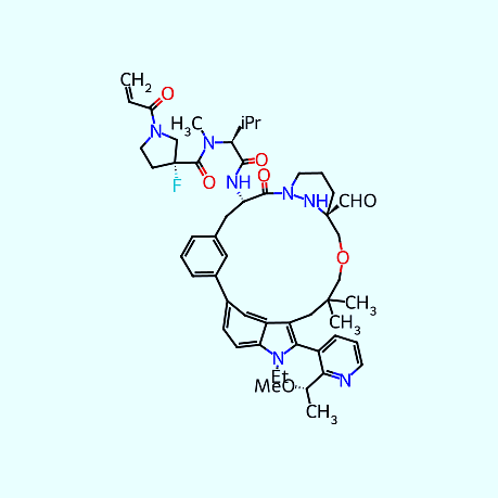 C=CC(=O)N1CC[C@](F)(C(=O)N(C)[C@H](C(=O)N[C@H]2Cc3cccc(c3)-c3ccc4c(c3)c(c(-c3cccnc3[C@H](C)OC)n4CC)CC(C)(C)COC[C@@]3(C=O)CCCN(N3)C2=O)C(C)C)C1